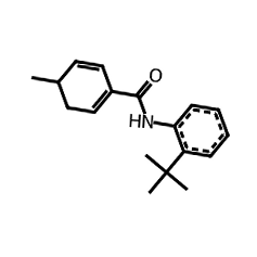 CC1C=CC(C(=O)Nc2ccccc2C(C)(C)C)=CC1